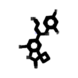 N=C/C=C(\Nc1ccc(F)cc1F)c1cc(Br)c2c(c1)C1(CCC1)C(=O)N2